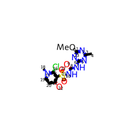 COc1nc(C)nc(NC(=O)NS(=O)(=O)c2c(Cl)n(C)ccc2=O)n1